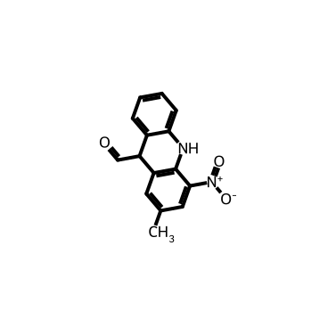 Cc1cc2c(c([N+](=O)[O-])c1)Nc1ccccc1C2C=O